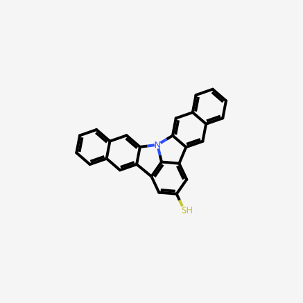 Sc1cc2c3cc4ccccc4cc3n3c4cc5ccccc5cc4c(c1)c23